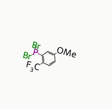 COc1ccc(C(F)(F)F)c(P(Br)Br)c1